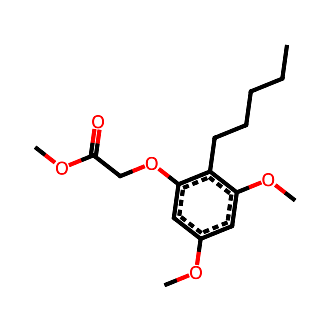 CCCCCc1c(OC)cc(OC)cc1OCC(=O)OC